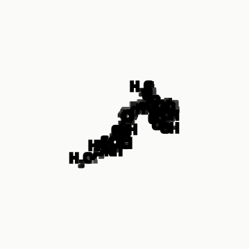 CCCCC1NSc2cc(S(=O)(=O)NCc3ccc(CCC[C@H](N[C@@H](C)C(=O)N4[C@@H]5CCCC[C@@H]5C[C@H]4C(=O)O)C(=O)OCC)cc3)c(Cl)cc2N1